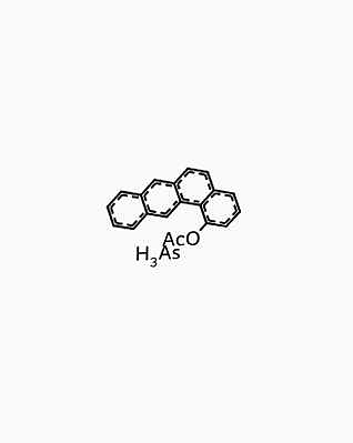 CC(=O)Oc1cccc2ccc3cc4ccccc4cc3c12.[AsH3]